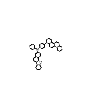 c1ccc(N(c2ccc(-c3cccc4c3ccc3c5ccccc5ccc43)cc2)c2ccc3c(ccc4c5ccccc5oc34)c2)cc1